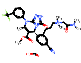 COC(=O)C1=C(C)N(c2cccc(C(F)(F)F)c2)c2n[nH]c(=O)n2[C@@H]1c1ccc(C#N)cc1CCC[N+](C)(C)CC(=O)N(C)C.O=CO